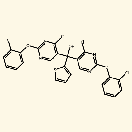 OC(c1cccs1)(c1cnc(Oc2ccccc2Cl)nc1Cl)c1cnc(Oc2ccccc2Cl)nc1Cl